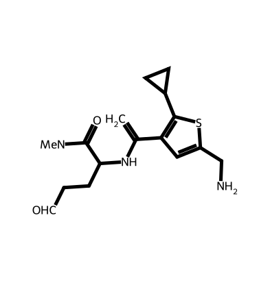 C=C(NC(CCC=O)C(=O)NC)c1cc(CN)sc1C1CC1